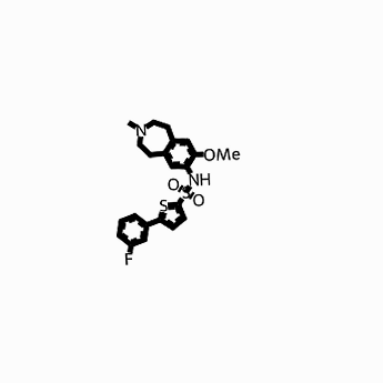 COc1cc2c(cc1NS(=O)(=O)c1ccc(-c3cccc(F)c3)s1)CCN(C)CC2